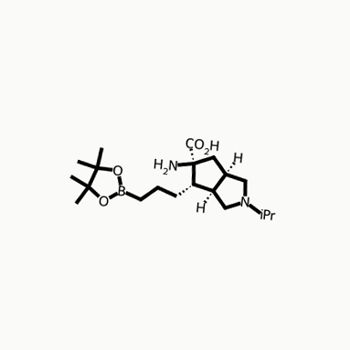 CC(C)N1C[C@@H]2C[C@@](N)(C(=O)O)[C@@H](CCCB3OC(C)(C)C(C)(C)O3)[C@@H]2C1